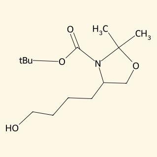 CC(C)(C)OC(=O)N1C(CCCCO)COC1(C)C